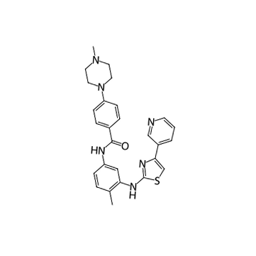 Cc1ccc(NC(=O)c2ccc(N3CCN(C)CC3)cc2)cc1Nc1nc(-c2cccnc2)cs1